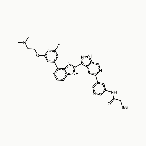 CN(C)CCOc1cc(F)cc(-c2nccc3[nH]c(-c4n[nH]c5cnc(-c6cncc(NC(=O)CC(C)(C)C)c6)cc45)nc23)c1